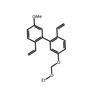 C=Cc1ccc(OC)cc1-c1cc(OCOCC)ccc1C=C